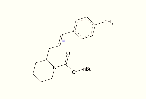 CCCCOC(=O)N1CCCCC1C/C=C/c1ccc(C)cc1